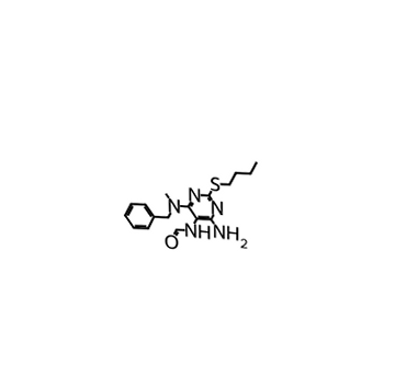 CCCCSc1nc(N)c(NC=O)c(N(C)Cc2ccccc2)n1